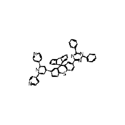 c1ccc(-c2nc(-c3ccccc3)nc(-c3ccc4c(c3)C3(c5cc(-c6cc(-c7ccncc7)nc(-c7ccncc7)c6)ccc5S4)c4ccccc4-c4ccccc43)n2)cc1